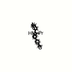 CC(C)c1c(-c2ccc3cnnn3c2)[nH]c2ccc(C3CCN(C4COC4)CC3)cc12